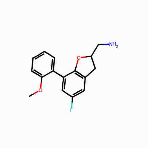 COc1ccccc1-c1cc(F)cc2c1OC(CN)C2